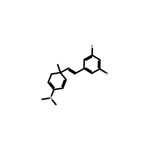 CN(C)C1=CCC(C)(C=Cc2cc(F)cc(F)c2)C=C1